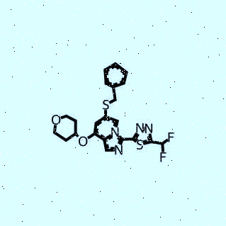 FC(F)c1nnc(-c2ncc3c(OC4CCOCC4)cc(SCc4ccccc4)cn23)s1